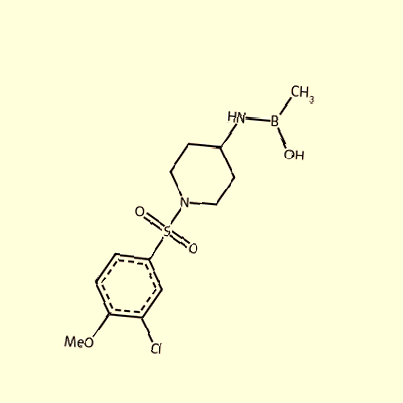 COc1ccc(S(=O)(=O)N2CCC(NB(C)O)CC2)cc1Cl